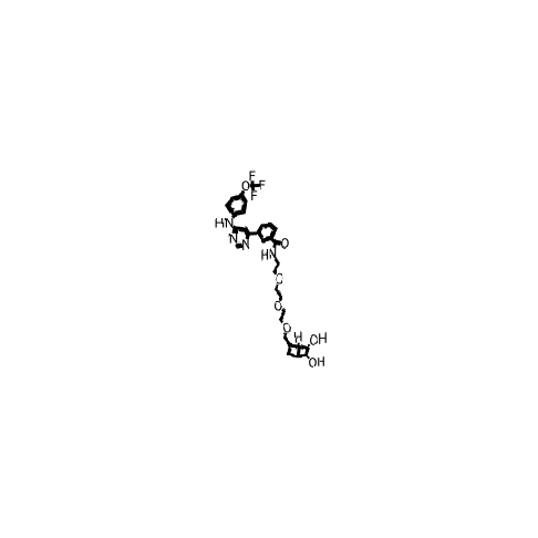 O=C(NCCOCCOCCOCC1CC2[C@H]1[C@@H](O)[C@H]2O)c1cccc(-c2cc(Nc3ccc(OC(F)(F)F)cc3)ncn2)c1